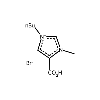 CCCC[n+]1cc(C(=O)O)n(C)c1.[Br-]